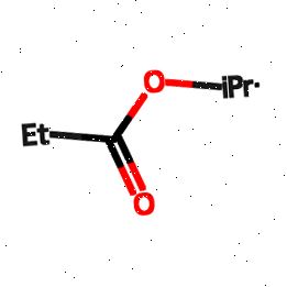 CCC(=O)O[C](C)C